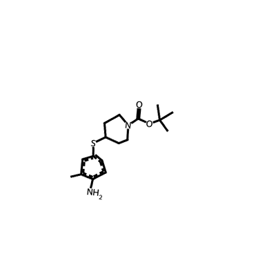 Cc1cc(SC2CCN(C(=O)OC(C)(C)C)CC2)ccc1N